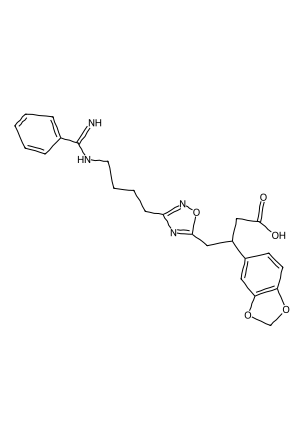 N=C(NCCCCc1noc(CC(CC(=O)O)c2ccc3c(c2)OCO3)n1)c1ccccc1